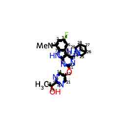 CNc1cc(F)cc2c1[nH]c1nc(Oc3cnc(C(C)O)nc3)nc(N3CC4CC(C3)C4N)c12